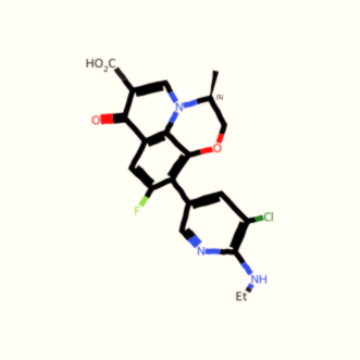 CCNc1ncc(-c2c(F)cc3c(=O)c(C(=O)O)cn4c3c2OC[C@@H]4C)cc1Cl